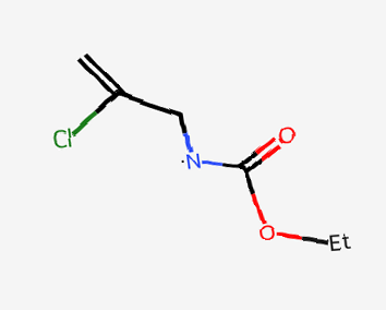 C=C(Cl)C[N]C(=O)OCC